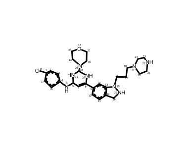 Clc1ccc(NC2C=C(c3ccc4c(c3)N(CCCN3CCNCC3)NC4)NC(N3CCOCC3)N2)cc1